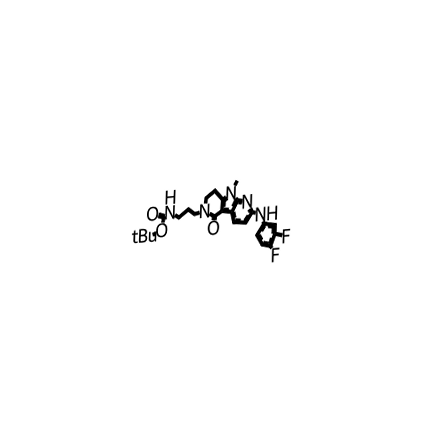 Cn1c2c(c3ccc(Nc4ccc(F)c(F)c4)nc31)C(=O)N(CCCNC(=O)OC(C)(C)C)CC2